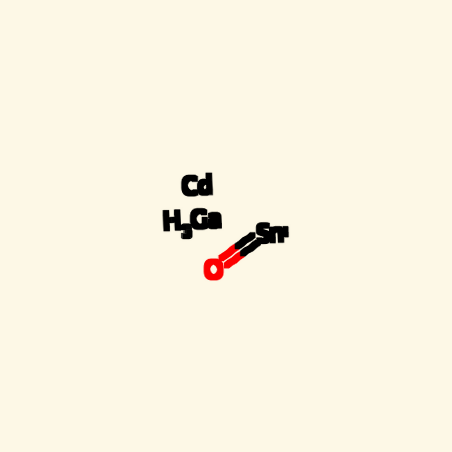 [Cd].[GaH3].[O]=[Sn]